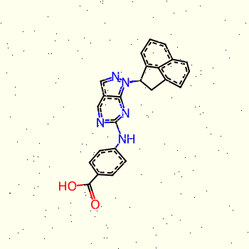 O=C(O)c1ccc(Nc2ncc3cnn([C@@H]4Cc5cccc6cccc4c56)c3n2)cc1